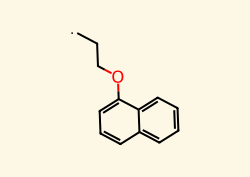 [CH2]CCOc1cccc2ccccc12